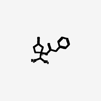 CC(C)[C@]1(OC(=O)Cc2ccccc2)CCC(=O)C1